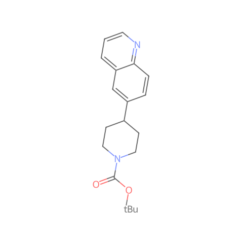 CC(C)(C)OC(=O)N1CCC(c2ccc3ncccc3c2)CC1